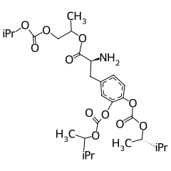 CC(C)OC(=O)OCC(C)OC(=O)[C@@H](N)Cc1ccc(OC(=O)O[C@@H](C)C(C)C)c(OC(=O)OC(C)C(C)C)c1